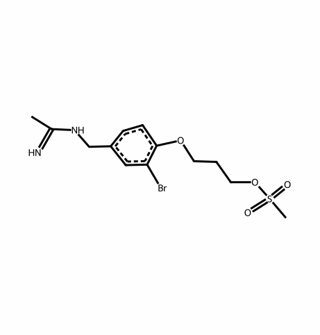 CC(=N)NCc1ccc(OCCCOS(C)(=O)=O)c(Br)c1